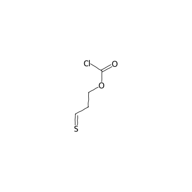 O=C(Cl)OCCC=S